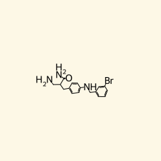 NCC(Cc1ccc(NCc2cccc(Br)c2)cc1)C(N)=O